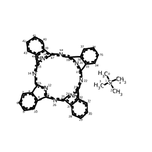 C[Si](C)(C)C.c1ccc2c(c1)-c1nc-2nc2[nH]c(nc3nc(nc4[nH]c(n1)c1ccccc41)-c1ccccc1-3)c1ccccc21